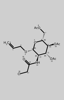 C=CCO[C@@H]1O[C@H](COC(C)=O)[C@@H](OC(C)=O)[C@H](OC(C)=O)[C@H]1NC(=O)CCl